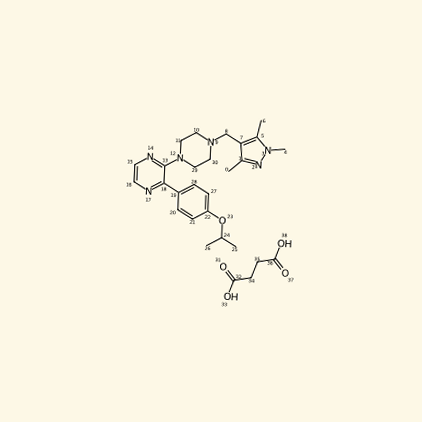 Cc1nn(C)c(C)c1CN1CCN(c2nccnc2-c2ccc(OC(C)C)cc2)CC1.O=C(O)CCC(=O)O